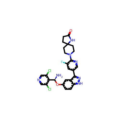 N[C@@H](Oc1ccc2[nH]nc(-c3cnc(N4CCC5(CCC(=O)N5)CC4)c(F)c3)c2c1)c1c(Cl)cncc1Cl